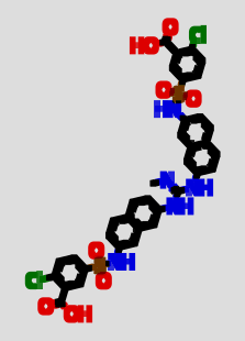 CN=C(Nc1ccc2ccc(NS(=O)(=O)c3ccc(Cl)c(C(=O)O)c3)cc2c1)Nc1ccc2ccc(NS(=O)(=O)c3ccc(Cl)c(C(=O)O)c3)cc2c1